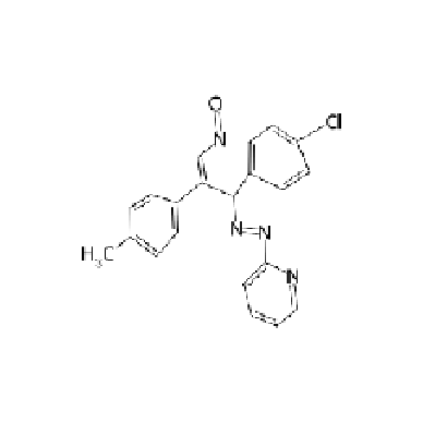 Cc1ccc(C(=CN=O)C(N=Nc2ccccn2)c2ccc(Cl)cc2)cc1